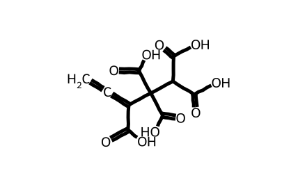 C=C=C(C(=O)O)C(C(=O)O)(C(=O)O)C(C(=O)O)C(=O)O